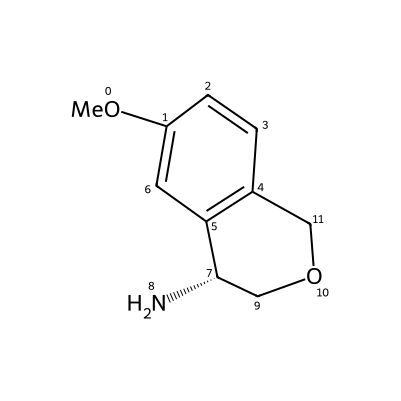 COc1ccc2c(c1)[C@@H](N)COC2